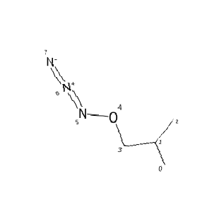 CC(C)CON=[N+]=[N-]